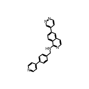 c1cc(-c2ccc(CNc3nccc4cc(-c5ccnnc5)ccc34)cc2)ccn1